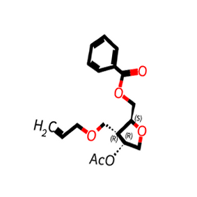 C=CCOC[C@H]1[C@@H](OC(C)=O)CO[C@@H]1COC(=O)c1ccccc1